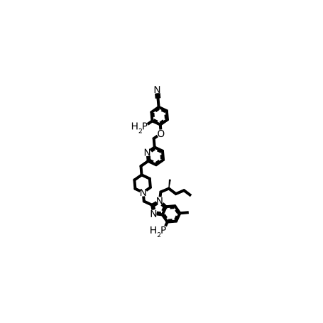 CCC[C@H](C)Cn1c(CN2CCC(Cc3cccc(COc4ccc(C#N)cc4P)n3)CC2)nc2c(P)cc(C)cc21